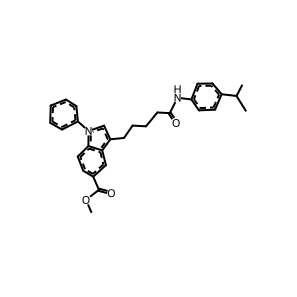 COC(=O)c1ccc2c(c1)c(CCCCC(=O)Nc1ccc(C(C)C)cc1)cn2-c1ccccc1